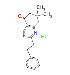 CC1(C)CC(=O)c2ccc(CCc3ccccc3)nc2C1.Cl